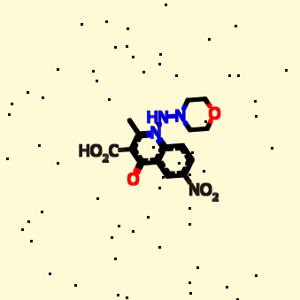 Cc1c(C(=O)O)c(=O)c2cc([N+](=O)[O-])ccc2n1NN1CCOCC1